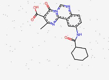 Cc1nc2c3cc(NC(=O)C4CCCCC4)ccc3ncn2c(=O)c1C(=O)O